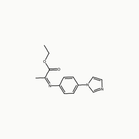 CCOC(=O)C(C)=Nc1ccc(-n2ccnc2)cc1